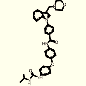 CC(C)NC(=O)Nc1ccc(Oc2ccc(NC(=O)c3ccc(-n4cc(CN5CCOCC5)c5ccccc54)cc3)cc2)cc1